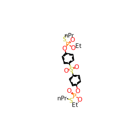 CCCSP(=O)(OCC)Oc1ccc(S(=O)(=O)c2ccc(OP(=O)(OCC)SCCC)cc2)cc1